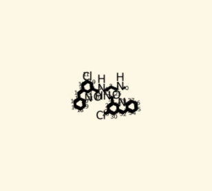 CNCCC(NC(=O)c1cc(Cl)cc2cc3ccccc3nc12)NC(=O)c1cc(Cl)cc2cc3ccccc3nc12